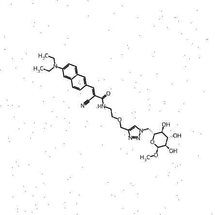 CCN(CC)c1ccc2cc(/C=C(\C#N)C(=O)NCCOCc3cn(C[C@H]4O[C@H](OC)[C@H](O)[C@@H](O)[C@@H]4O)nn3)ccc2c1